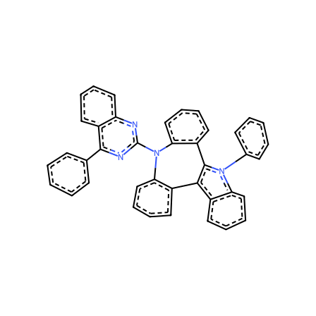 c1ccc(-c2nc(N3c4ccccc4-c4c(n(-c5ccccc5)c5ccccc45)-c4ccccc43)nc3ccccc23)cc1